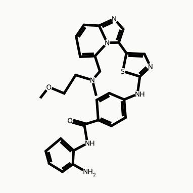 COCCN(C)Cc1cccc2ncc(-c3cnc(Nc4ccc(C(=O)Nc5ccccc5N)cc4)s3)n12